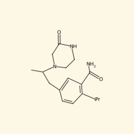 CC(C)c1ccc(CC(C)N2CCNC(=O)C2)cc1C(N)=O